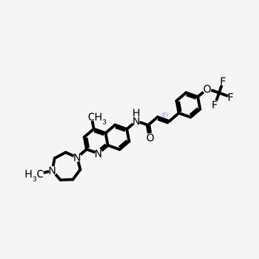 Cc1cc(N2CCCN(C)CC2)nc2ccc(NC(=O)/C=C/c3ccc(OC(F)(F)F)cc3)cc12